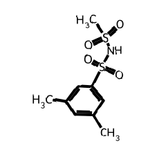 Cc1cc(C)cc(S(=O)(=O)NS(C)(=O)=O)c1